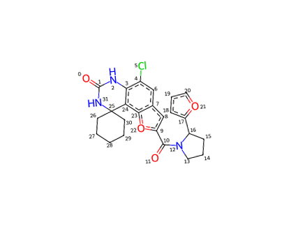 O=C1Nc2c(Cl)cc3cc(C(=O)N4CCCC4c4ccco4)oc3c2C2(CCCCC2)N1